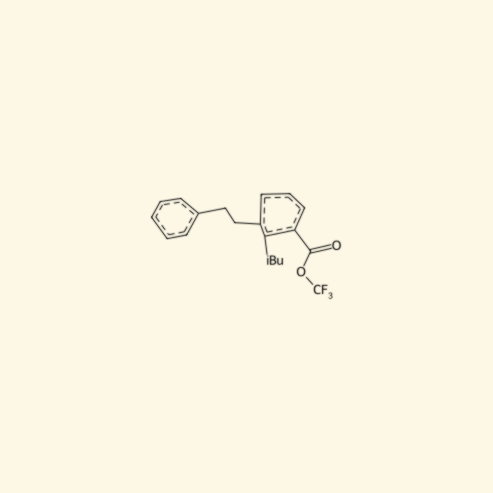 CCC(C)c1c(CCc2ccccc2)cccc1C(=O)OC(F)(F)F